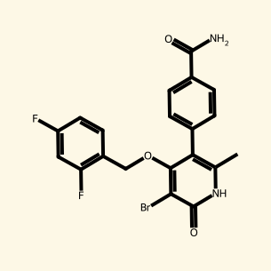 Cc1[nH]c(=O)c(Br)c(OCc2ccc(F)cc2F)c1-c1ccc(C(N)=O)cc1